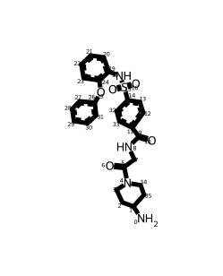 NC1CCN(C(=O)CNC(=O)c2ccc(S(=O)(=O)Nc3ccccc3Oc3ccccc3)cc2)CC1